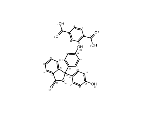 O=C(O)c1ccc(C(=O)O)cc1.O=C1OC(c2ccc(O)cc2)(c2ccc(O)cc2)c2ccccc21